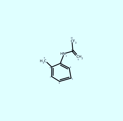 C=C(Nc1ccccc1C)C(F)(F)F